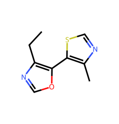 CCc1ncoc1-c1scnc1C